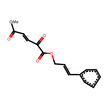 COC(=O)/C=C/C(=O)C(=O)OC/C=C/c1ccccc1